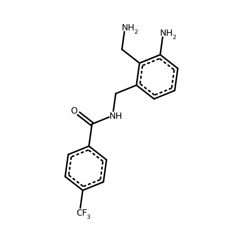 NCc1c(N)cccc1CNC(=O)c1ccc(C(F)(F)F)cc1